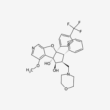 COc1cncc2c1[C@]1(O)[C@H](O)[C@H](CN3CCOCC3)[C@@H](c3ccccc3)[C@]1(c1ccc(C(F)(F)F)cc1)O2